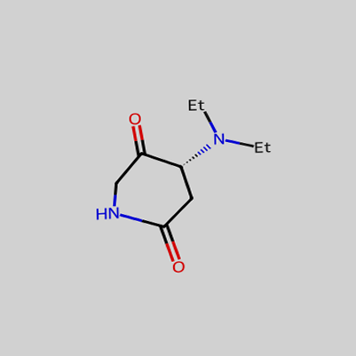 CCN(CC)[C@@H]1CC(=O)NCC1=O